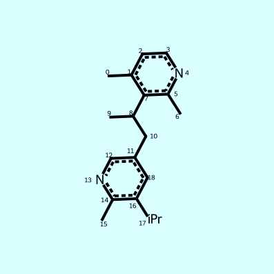 Cc1ccnc(C)c1C(C)Cc1cnc(C)c(C(C)C)c1